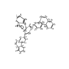 O=[N+]([O-])c1ccccc1-c1cc(-c2ccc3c(ccc4ccccc43)c2)cc(-c2ccc3c(ccc4ccccc43)c2)c1